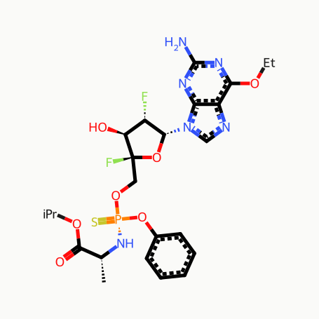 CCOc1nc(N)nc2c1ncn2[C@@H]1O[C@](F)(CO[P@@](=S)(N[C@H](C)C(=O)OC(C)C)Oc2ccccc2)[C@@H](O)[C@@H]1F